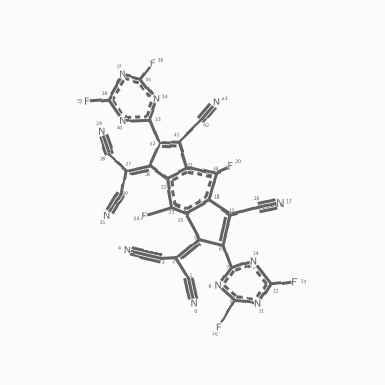 N#CC(C#N)=C1C(c2nc(F)nc(F)n2)=C(C#N)c2c(F)c3c(c(F)c21)C(=C(C#N)C#N)C(c1nc(F)nc(F)n1)=C3C#N